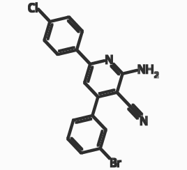 N#Cc1c(-c2cccc(Br)c2)cc(-c2ccc(Cl)cc2)nc1N